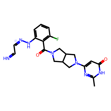 Cc1nc(N2CC3CN(C(=O)c4c(F)cccc4N/N=C\C=N)CC3C2)cc(=O)[nH]1